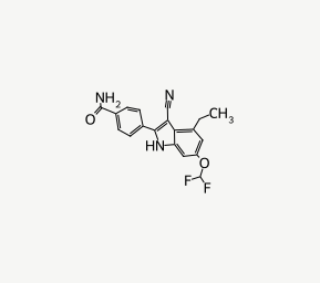 CCc1cc(OC(F)F)cc2[nH]c(-c3ccc(C(N)=O)cc3)c(C#N)c12